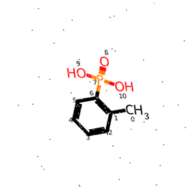 Cc1[c]cccc1P(=O)(O)O